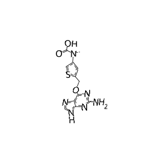 CN(C(=O)O)c1csc(COc2nc(N)nc3[nH]cnc23)c1